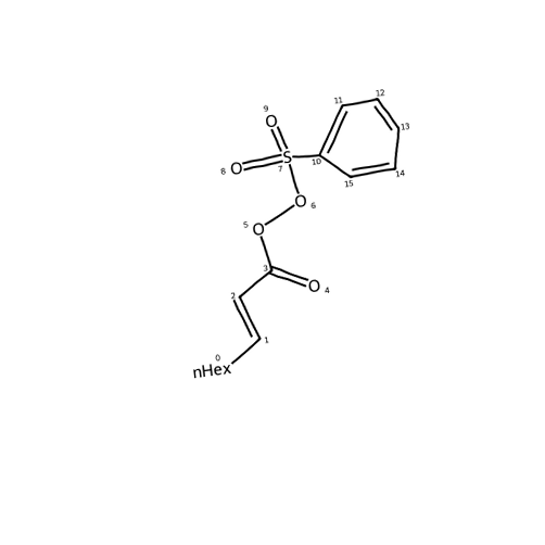 CCCCCCC=CC(=O)OOS(=O)(=O)c1ccccc1